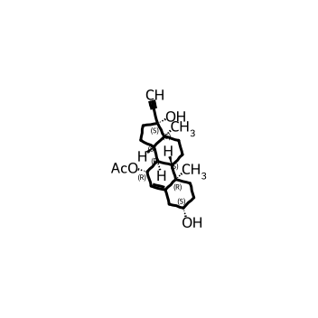 C#C[C@]1(O)CC[C@H]2[C@@H]3[C@@H](OC(C)=O)C=C4C[C@@H](O)CC[C@]4(C)[C@H]3CC[C@@]21C